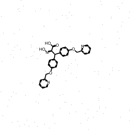 O=C(O)C(=NO)C(c1ccc(OCc2ccccn2)cc1)c1ccc(OCc2ccccn2)cc1